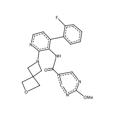 COc1ncc(C(=O)Nc2c(-c3ccccc3F)ccnc2N2CC3(COC3)C2)cn1